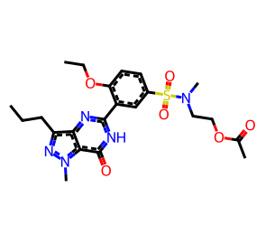 CCCc1nn(C)c2c(=O)[nH]c(-c3cc(S(=O)(=O)N(C)CCOC(C)=O)ccc3OCC)nc12